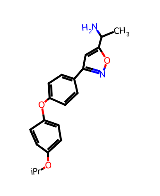 CC(C)Oc1ccc(Oc2ccc(-c3cc(C(C)N)on3)cc2)cc1